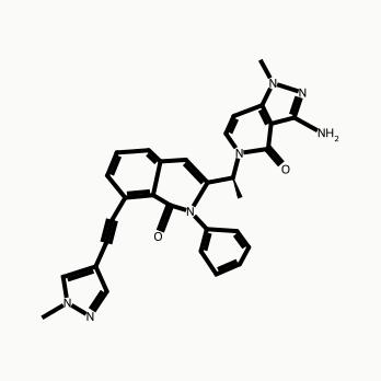 C[C@@H](c1cc2cccc(C#Cc3cnn(C)c3)c2c(=O)n1-c1ccccc1)n1ccc2c(c(N)nn2C)c1=O